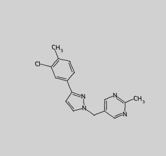 Cc1ncc(Cn2ccc(-c3ccc(C)c(Cl)c3)n2)cn1